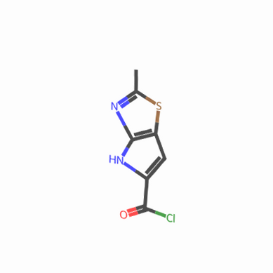 Cc1nc2[nH]c(C(=O)Cl)cc2s1